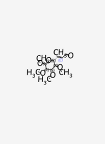 CO[C@H]1O[C@H](/C(C)=C/C=O)[C@@H](OC)[C@H](OC)[C@H]1OC